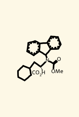 COC(=O)N(C1c2ccccc2-c2ccccc21)[C@@H](CC1CCCCC1)C(=O)O